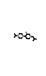 CC(C)CN1CCC(N2CCN(C(C)C)CC2)[C@@H](C)C1